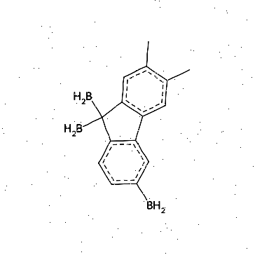 Bc1ccc2c(c1)-c1cc(C)c(C)cc1C2(B)B